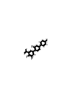 C=C(C)c1cc(-c2ccc(-c3ccc(C)cc3)cc2F)cc(F)c1F